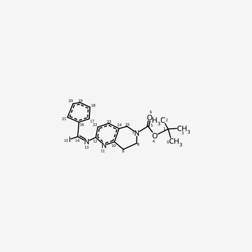 CC(C)(C)OC(=O)N1CCc2nc(/N=C(/I)c3ccccc3)ccc2C1